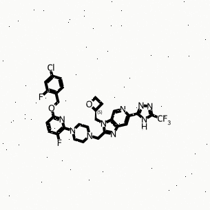 Fc1cc(Cl)ccc1COc1ccc(F)c(N2CCN(Cc3nc4cc(-c5nnc(C(F)(F)F)[nH]5)ncc4n3C[C@@H]3CCO3)CC2)n1